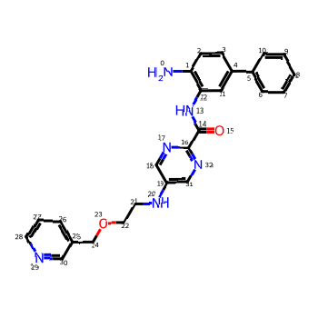 Nc1ccc(-c2ccccc2)cc1NC(=O)c1ncc(NCCOCc2cccnc2)cn1